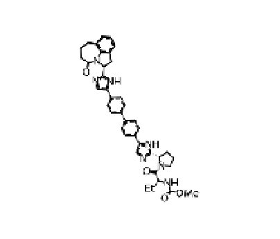 CC[C@H](NC(=O)OC)C(=O)N1CCC[C@H]1c1ncc(-c2ccc(-c3ccc(-c4cnc([C@@H]5Cc6cccc7c6N5C(=O)CCC7)[nH]4)cc3)cc2)[nH]1